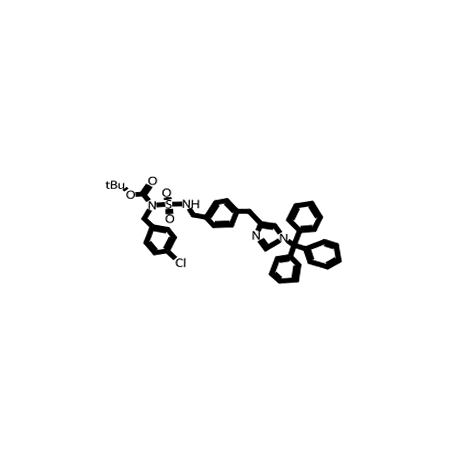 CC(C)(C)OC(=O)N(Cc1ccc(Cl)cc1)S(=O)(=O)NCc1ccc(Cc2cn(C(c3ccccc3)(c3ccccc3)c3ccccc3)cn2)cc1